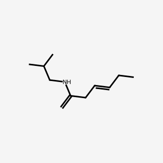 C=C(C/C=C/CC)NCC(C)C